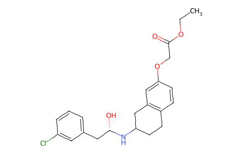 CCOC(=O)COc1ccc2c(c1)CC(N[C@@H](O)Cc1cccc(Cl)c1)CC2